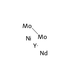 [Mo][Mo].[Nd].[Ni].[Y]